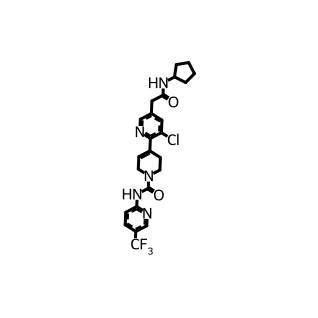 O=C(Cc1cnc(C2=CCN(C(=O)Nc3ccc(C(F)(F)F)cn3)CC2)c(Cl)c1)NC1CCCC1